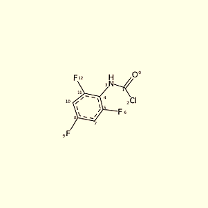 O=C(Cl)Nc1c(F)cc(F)cc1F